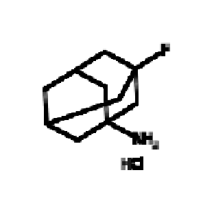 Cl.NC12CC3CC(C1)CC(F)(C3)C2